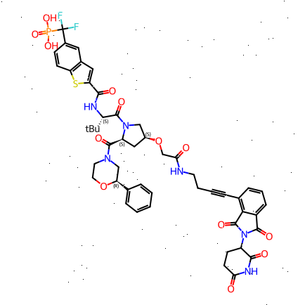 CC(C)(C)[C@H](NC(=O)c1cc2cc(C(F)(F)P(=O)(O)O)ccc2s1)C(=O)N1C[C@@H](OCC(=O)NCCC#Cc2cccc3c2C(=O)N(C2CCC(=O)NC2=O)C3=O)C[C@H]1C(=O)N1CCO[C@H](c2ccccc2)C1